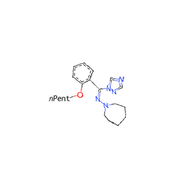 CCCCCOc1ccccc1C(=NN1CCCCCC1)n1cncn1